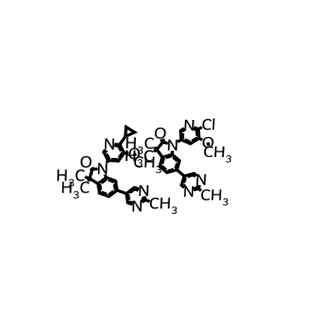 COc1cc(N2C(=O)C(C)(C)c3ccc(-c4cnc(C)nc4)cc32)cnc1C1CC1.COc1cc(N2C(=O)C(C)(C)c3ccc(-c4cnc(C)nc4)cc32)cnc1Cl